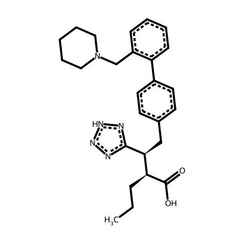 CCC[C@H](C(=O)O)[C@H](Cc1ccc(-c2ccccc2CN2CCCCC2)cc1)c1nn[nH]n1